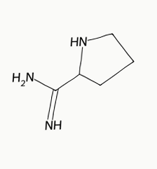 N=C(N)C1CCCN1